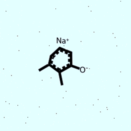 Cc1cccc([O-])c1C.[Na+]